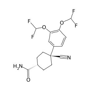 N#C[C@]1(c2ccc(OC(F)F)c(OC(F)F)c2)CC[C@@H](C(N)=O)CC1